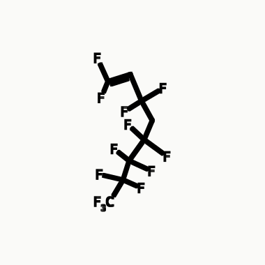 FC(F)=CC(F)(F)CC(F)(F)C(F)(F)C(F)(F)C(F)(F)F